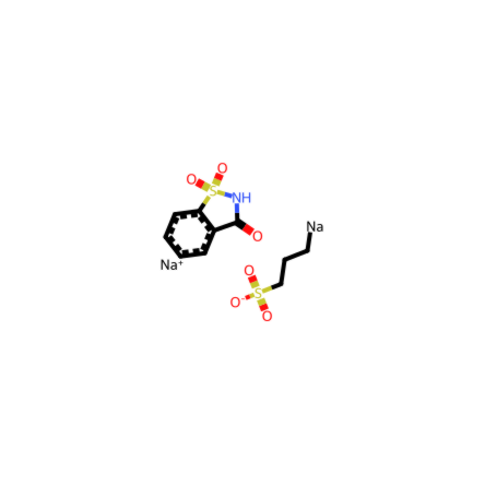 O=C1NS(=O)(=O)c2ccccc21.O=S(=O)([O-])CC[CH2][Na].[Na+]